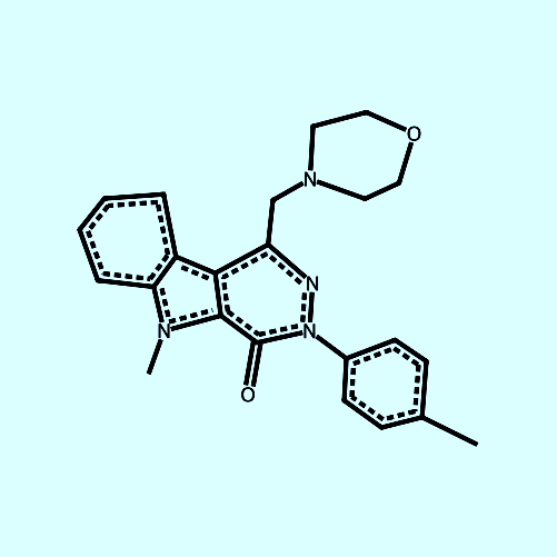 Cc1ccc(-n2nc(CN3CCOCC3)c3c4ccccc4n(C)c3c2=O)cc1